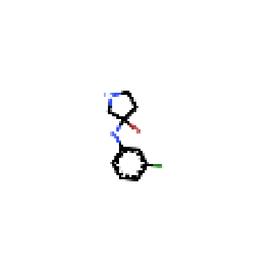 Clc1cccc(NC2(Br)CCNC2)c1